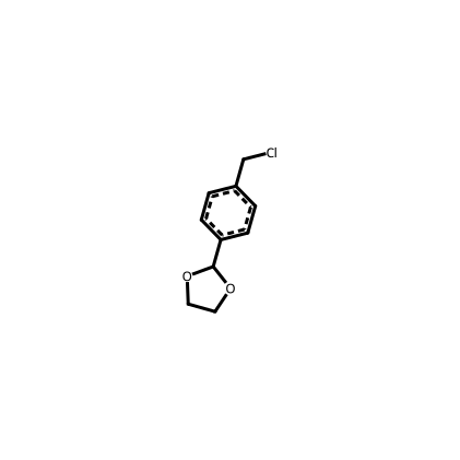 ClCc1ccc(C2OCCO2)cc1